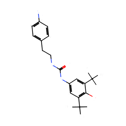 CC(C)(C)c1cc(NC(=O)NCCc2ccc(N)cc2)cc(C(C)(C)C)c1O